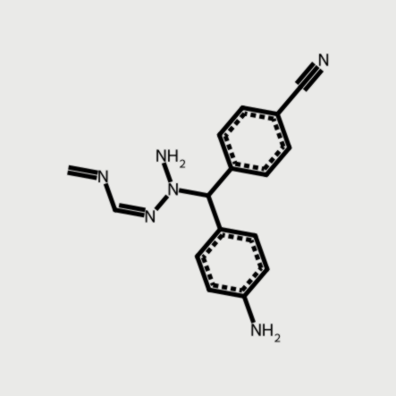 C=N/C=N\N(N)C(c1ccc(N)cc1)c1ccc(C#N)cc1